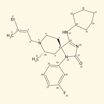 CC/C(C)=C/CN1CC[C@@]2(C[C@@H]1C)C(NC1CCCCC1)=NC(=O)N2c1cccc(F)c1